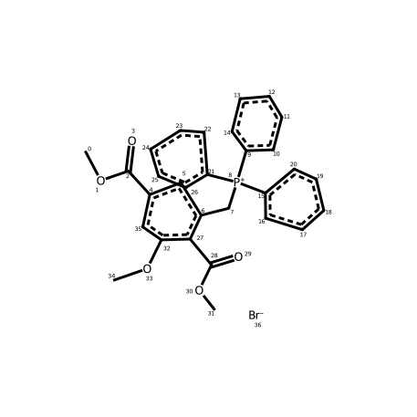 COC(=O)c1cc(C[P+](c2ccccc2)(c2ccccc2)c2ccccc2)c(C(=O)OC)c(OC)c1.[Br-]